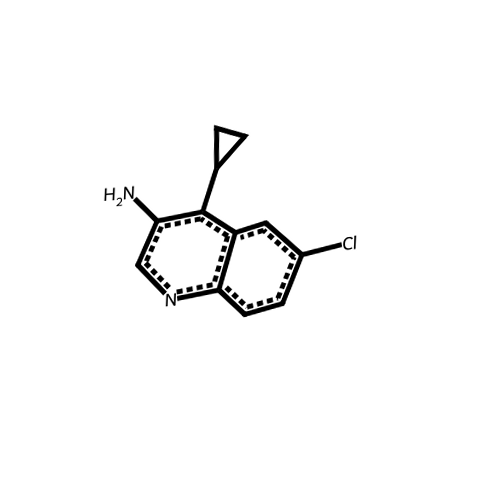 Nc1cnc2ccc(Cl)cc2c1C1CC1